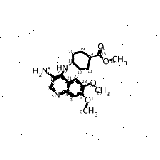 COc1cc2ncc(N)c(N[C@H]3CC[C@H](C(=O)OC)CC3)c2cc1OC